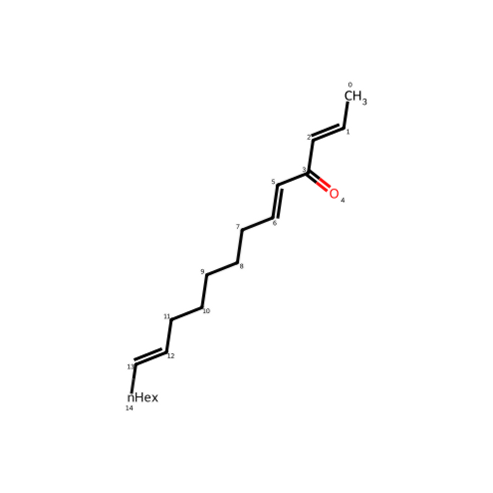 CC=CC(=O)C=CCCCCCC=CCCCCCC